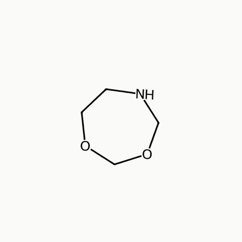 C1COCOCN1